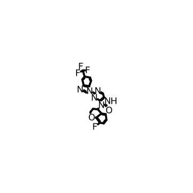 O=c1[nH]c2cnc(-n3cnc4cc(C(F)(F)F)ccc43)nc2n1C1CCOc2c(F)cccc21